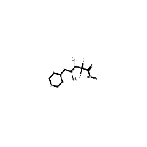 CNC(=O)C(F)(F)[C@@H](O)[C@H](N)CC1CCCCC1